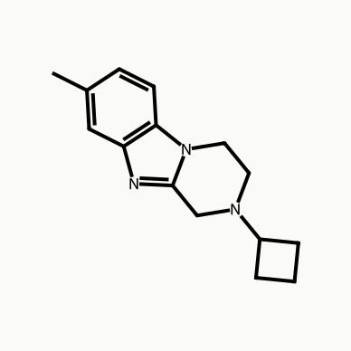 Cc1ccc2c(c1)nc1n2CCN(C2CCC2)C1